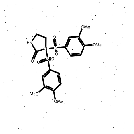 COc1ccc(S(=O)(=O)[N+]2(S(=O)(=O)c3ccc(OC)c(OC)c3)CCNC2=O)cc1OC